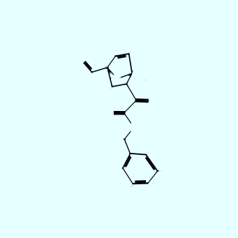 O=CC12C=C[C@H](O1)C(C(=O)C(=O)OCc1ccccc1)C2